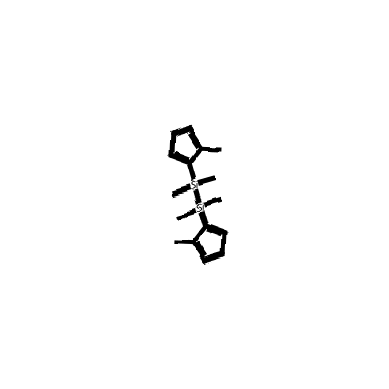 CC1=CC[C]=C1[Si](C)(C)[Si](C)(C)C1=[C]CC=C1C